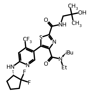 CC[C@H](C)N(CC)C(=O)c1nc(C(=O)NCC(C)(C)O)sc1-c1cnc(N[C@H]2CCCC2(F)F)cc1C(F)(F)F